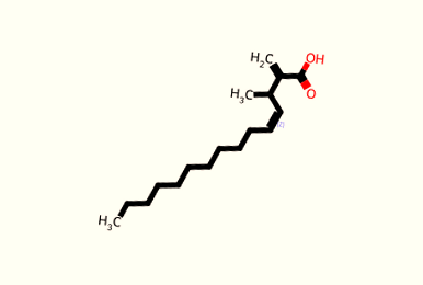 C=C(C(=O)O)C(C)/C=C\CCCCCCCCCC